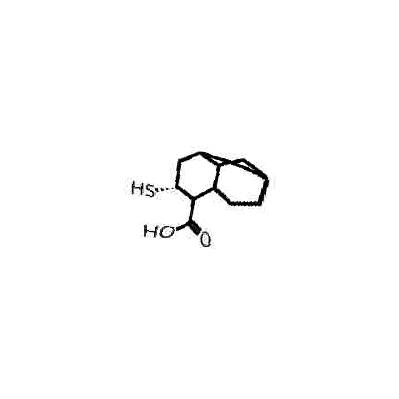 O=C(O)C1C2CCC3CC2C3C[C@H]1S